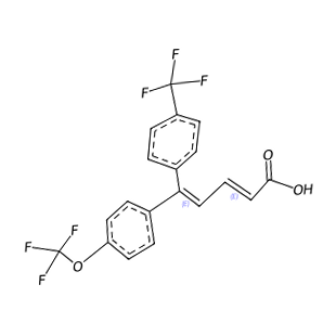 O=C(O)/C=C/C=C(/c1ccc(OC(F)(F)F)cc1)c1ccc(C(F)(F)F)cc1